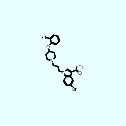 CC(=O)c1cn(CCCN2CCC(Oc3ccccc3Cl)CC2)c2ccc(Br)cc12